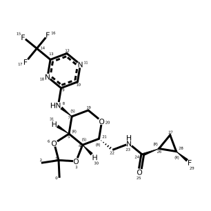 CC1(C)O[C@@H]2[C@H](O1)[C@@H](Nc1cncc(C(F)(F)F)n1)CO[C@@H]2CNC(=O)[C@H]1C[C@H]1F